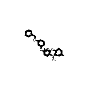 CC(=O)N(c1ccc(Oc2cccc(OCc3ccccc3)c2)cc1)c1cc(F)ccc1C(=O)O